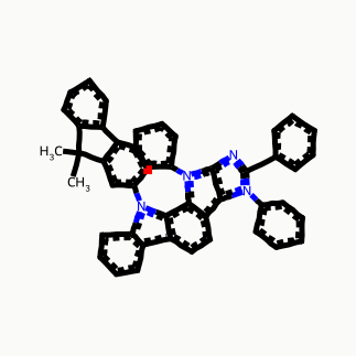 CC1(C)c2ccccc2-c2ccc(-n3c4ccccc4c4ccc5c6c(nc(-c7ccccc7)n6-c6ccccc6)n(-c6ccccc6)c5c43)cc21